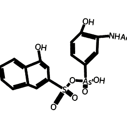 CC(=O)Nc1cc([As](=O)(O)OS(=O)(=O)c2cc(O)c3ccccc3c2)ccc1O